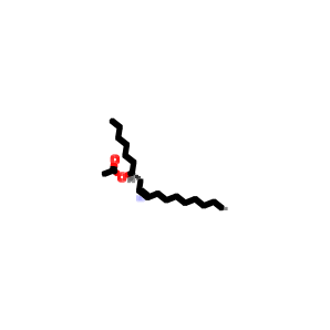 [CH2]CCCCCCC/C=C\C[C@@H](CCCCCC)OC(C)=O